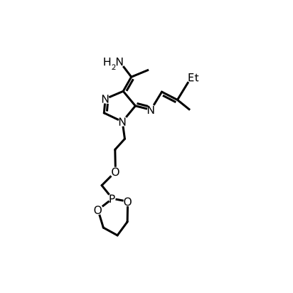 CC/C(C)=C/N=C1\C(=C(/C)N)N=CN1CCOCP1OCCCO1